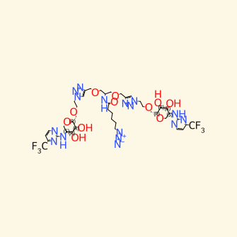 [N-]=[N+]=NCCCCCC(=O)NC(COCc1cn(CCOC[C@H]2OC[C@H](Nc3nccc(C(F)(F)F)n3)[C@@H](O)[C@H]2O)nn1)COCc1cn(CCOC[C@H]2OC[C@H](Nc3nccc(C(F)(F)F)n3)[C@@H](O)[C@H]2O)nn1